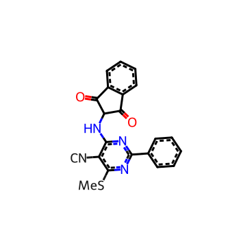 [C-]#[N+]c1c(NC2C(=O)c3ccccc3C2=O)nc(-c2ccccc2)nc1SC